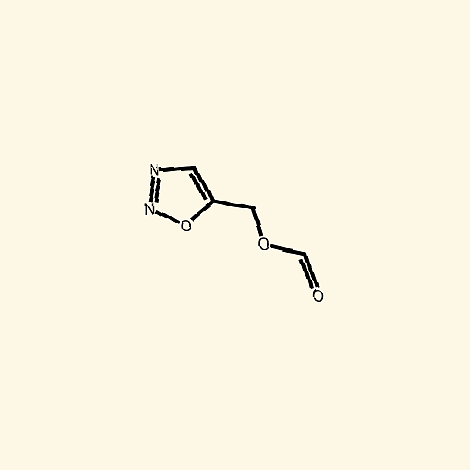 O=COCc1cnno1